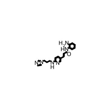 Nc1ccccc1NC(=O)/C=C/c1ccc(NCCCn2ccnc2)nc1